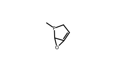 CP1CC=C2OC21